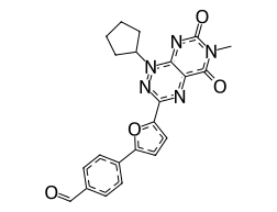 Cn1c(=O)nc2n(C3CCCC3)nc(-c3ccc(-c4ccc(C=O)cc4)o3)nc-2c1=O